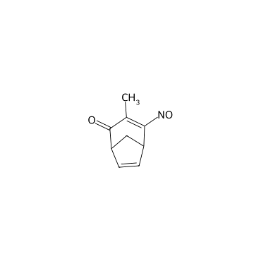 CC1=C(N=O)C2C=CC(C2)C1=O